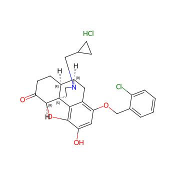 Cl.O=C1CC[C@H]2[C@H]3Cc4c(OCc5ccccc5Cl)cc(O)c5c4[C@@]2(CCN3CC2CC2)[C@H]1O5